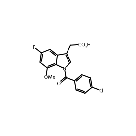 COc1cc(F)cc2c(CC(=O)O)cn(C(=O)c3ccc(Cl)cc3)c12